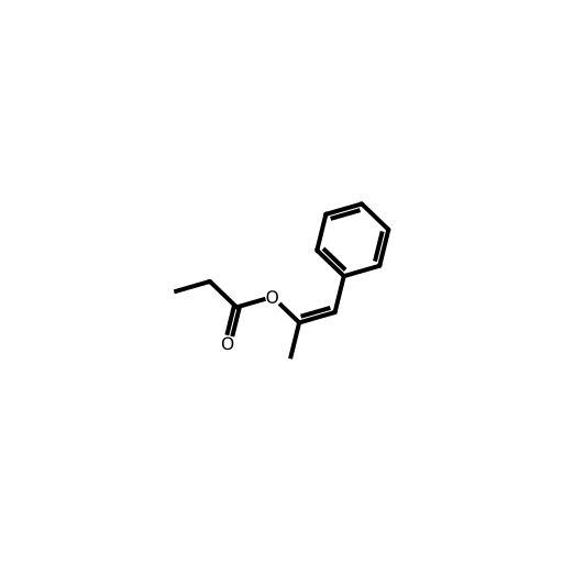 CCC(=O)OC(C)=Cc1ccccc1